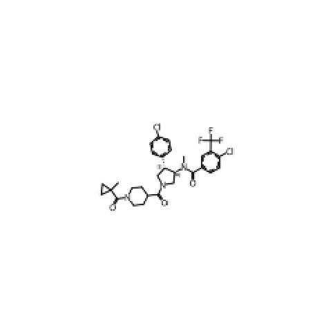 CN(C(=O)c1ccc(Cl)c(C(F)(F)F)c1)[C@H]1CN(C(=O)C2CCN(C(=O)C3(C)CC3)CC2)C[C@@H]1c1ccc(Cl)cc1